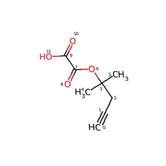 C#CCC(C)(C)OC(=O)C(=O)O